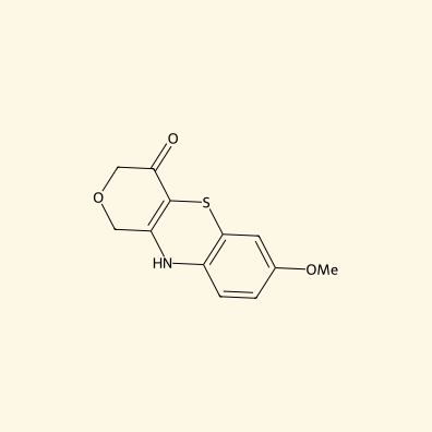 COc1ccc2c(c1)SC1=C(COCC1=O)N2